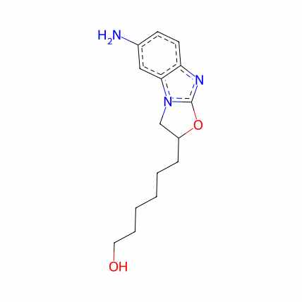 Nc1ccc2nc3n(c2c1)CC(CCCCCCO)O3